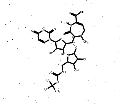 CN1C(=O)[C@H]([C@H](OC2OC(CNC(=O)OC(C)(C)C)C(O)C2O)C2OC(n3ccc(=O)[nH]c3=O)C(O)C2O)N(C)CC=C1C(=O)O